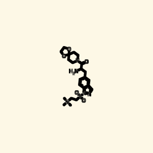 C[Si](C)(C)CCS(=O)(=O)n1ncc2cc(CC(N)C(=O)N3CCC4(CC3)OCCO4)ccc21